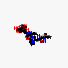 CCCCC(NC(=O)C1CCCN1C(=O)CNC(=O)CNC(=O)C(C)C)C(=O)NCCCC(O)(P(=O)(O)O)P(=O)(O)O